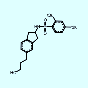 CC(C)(C)c1ccc(S(=O)(=O)NC2Cc3ccc(CCCO)cc3C2)c(C(C)(C)C)c1